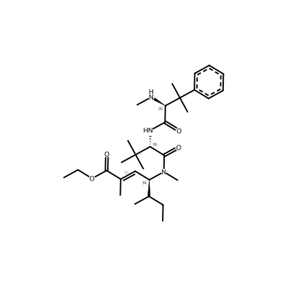 CCOC(=O)/C(C)=C/[C@H](C(C)CC)N(C)C(=O)[C@@H](NC(=O)[C@@H](NC)C(C)(C)c1ccccc1)C(C)(C)C